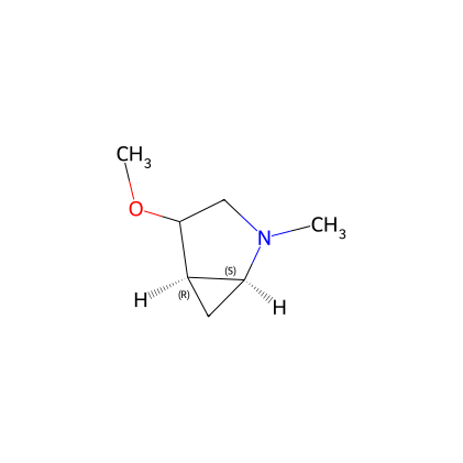 COC1CN(C)[C@H]2C[C@@H]12